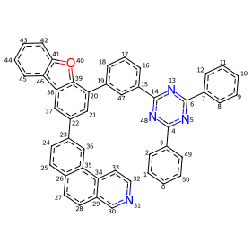 c1ccc(-c2nc(-c3ccccc3)nc(-c3cccc(-c4cc(-c5ccc6ccc7cnccc7c6c5)cc5c4oc4ccccc45)c3)n2)cc1